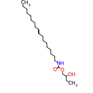 CCCCCCCC/C=C/CCCCCCCCNC(=O)OCC(O)CC